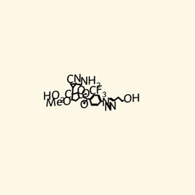 CO[C@@H]1C[C@H](S(=O)(=O)c2ccc(-n3cc(CCO)nn3)cc2C(F)(F)F)C[C@@]1(C(=O)O)C1CC1(C#N)C(N)=O